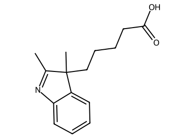 CC1=Nc2ccccc2C1(C)CCCCC(=O)O